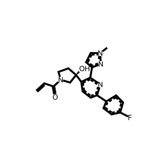 C=CC(=O)N1CC[C@](O)(c2ccc(-c3ccc(F)cc3)nc2-c2ccn(C)n2)C1